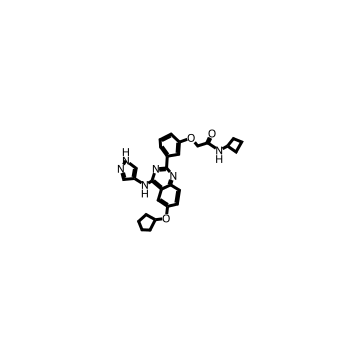 O=C(COc1cccc(-c2nc(Nc3cn[nH]c3)c3cc(OC4CCCC4)ccc3n2)c1)NC1CCC1